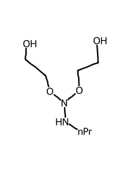 CCCNN(OCCO)OCCO